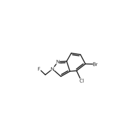 FCn1cc2c(Cl)c(Br)ccc2n1